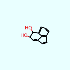 OC1C=C2C=Cc3cccc(c32)C1O